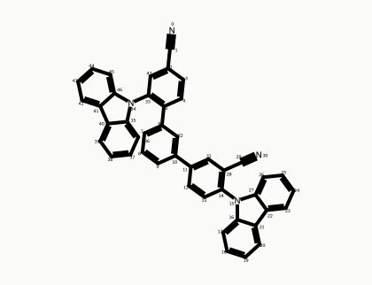 N#Cc1ccc(-c2cccc(-c3ccc(-n4c5ccccc5c5ccccc54)c(C#N)c3)c2)c(-n2c3ccccc3c3ccccc32)c1